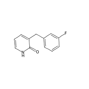 O=c1[nH]cccc1Cc1cccc(F)c1